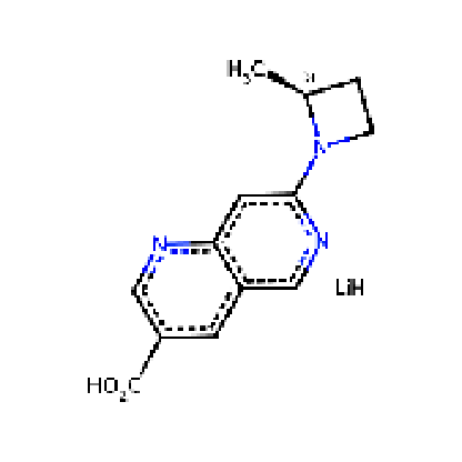 C[C@H]1CCN1c1cc2ncc(C(=O)O)cc2cn1.[LiH]